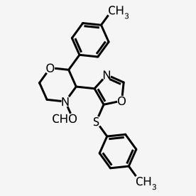 Cc1ccc(Sc2ocnc2C2C(c3ccc(C)cc3)OCCN2C=O)cc1